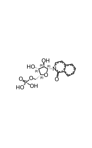 O=c1c2ccccc2ccn1[C@@H]1O[C@H](COP(=O)(O)O)[C@H](O)[C@H]1O